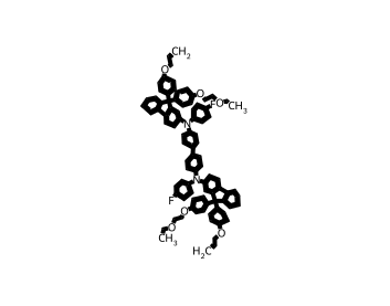 C=CCOc1ccc(C2(c3ccc(OCCOCC)cc3)c3ccccc3-c3ccc(N(c4ccc(F)cc4)c4ccc(-c5ccc(N(c6ccc(F)cc6)c6ccc7c(c6)C(c6ccc(OCC=C)cc6)(c6ccc(OCCOCC)cc6)c6ccccc6-7)cc5)cc4)cc32)cc1